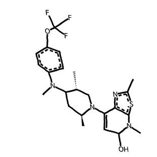 Cc1nc2c(s1)N(C)C(O)C=C2N1C[C@@H](C)C(N(C)c2ccc(OC(F)(F)F)cc2)C[C@@H]1C